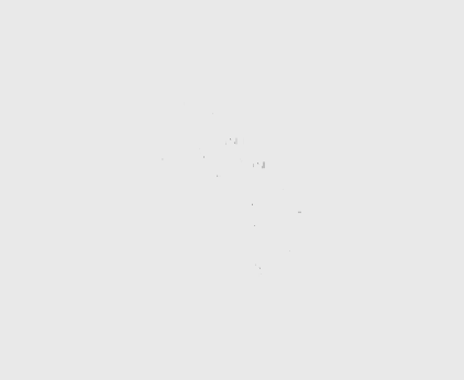 Cc1cccc(NC(=O)Nc2ccc(CC#N)cc2)c1